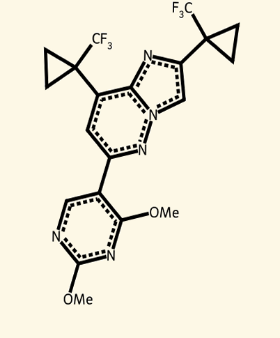 COc1ncc(-c2cc(C3(C(F)(F)F)CC3)c3nc(C4(C(F)(F)F)CC4)cn3n2)c(OC)n1